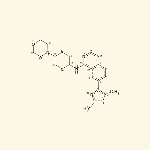 Cc1cn(C)c(-c2ccc3ncnc(NC4CCC(N5CCOCC5)CC4)c3c2)n1